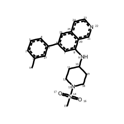 Cc1cccc(-c2cc(NC3CCN(S(C)(=O)=O)CC3)c3cnccc3c2)c1